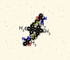 Cc1ccc(C2(c3ccc(C)cc3)c3cc4c(cc3-c3c2ccc2cc(-c5ccc(/C=C6\C(=O)c7ccccc7C6=C(C#N)C#N)s5)sc32)C(c2ccc(C)cc2)(c2ccc(C)cc2)c2ccc3cc(-c5ccc(CCCC6(C)C(=O)c7ccccc7C6=C(C#N)C#N)s5)sc3c2-4)cc1